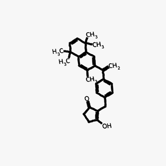 C=C(c1ccc(CC2=C(O)CCC2=O)cc1)c1cc2c(cc1C)C(C)(C)C=CC2(C)C